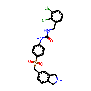 O=C(NCc1cccc(Cl)c1Cl)Nc1ccc(S(=O)(=O)Cc2ccc3c(c2)CNC3)cc1